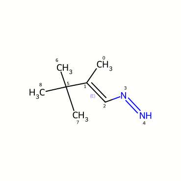 C/C(=C\N=N)C(C)(C)C